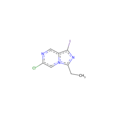 CCc1nc(I)c2cnc(Cl)cn12